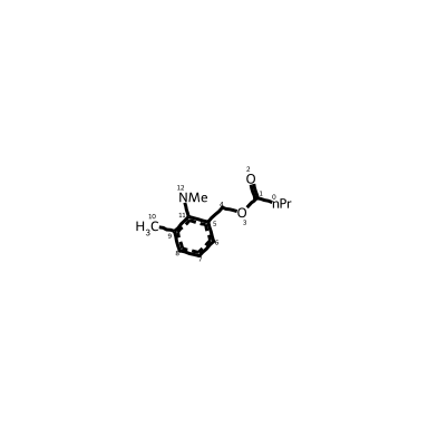 CCCC(=O)OCc1cccc(C)c1NC